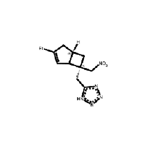 CCC1=CC2[C@H](C1)C[C@@]2(Cc1nnn[nH]1)C[N+](=O)[O-]